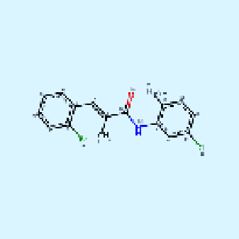 C/C(=C\c1ccccc1Br)C(=O)Nc1cc(Cl)ccc1C(=O)O